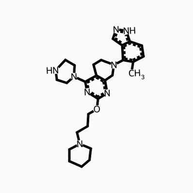 Cc1ccc2[nH]ncc2c1N1CCc2c(nc(OCCCN3CCCCC3)nc2N2CCNCC2)C1